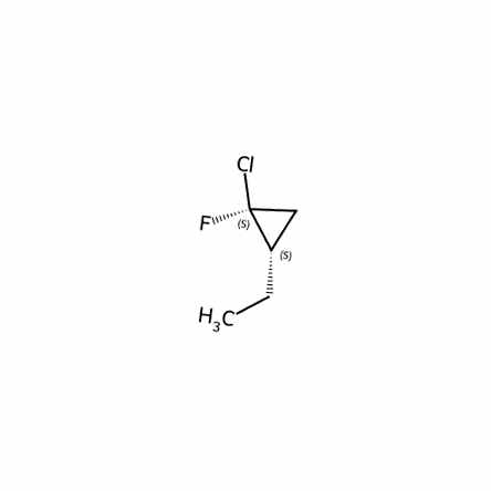 CC[C@H]1C[C@]1(F)Cl